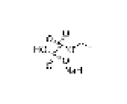 CCOS(=O)(=O)S(=O)(=O)O.[NaH]